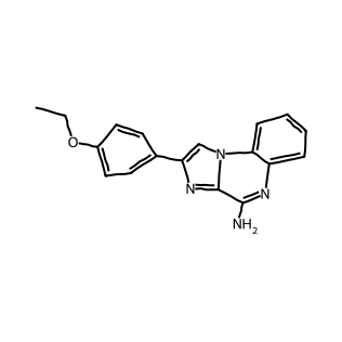 CCOc1ccc(-c2cn3c(n2)c(N)nc2ccccc23)cc1